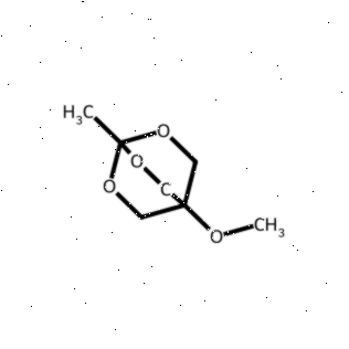 COC12COC(C)(OC1)OC2